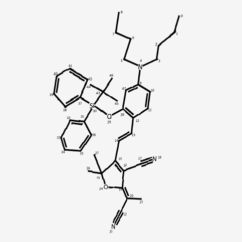 CCCCN(CCCC)c1ccc(/C=C/C2=C(C#N)C(=C(\C)C#N)/OC2(C)C)c(O[Si](c2ccccc2)(c2ccccc2)C(C)(C)C)c1